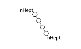 CCCCCCCC1CCC(c2ccc(-c3ccc(C4CCC(CCCCCCC)CC4)cc3)cc2)CC1